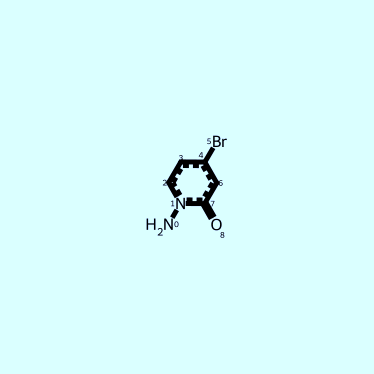 Nn1ccc(Br)cc1=O